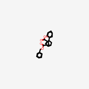 O=C(OCc1ccccc1)C1C2=CCC(c3ccccc3)(C=C2)C1C(=O)O